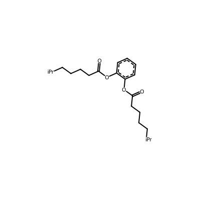 CC(C)CCCCC(=O)Oc1ccccc1OC(=O)CCCCC(C)C